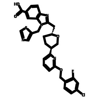 O=C(O)c1ccc2nc(C[C@H]3CC[C@H](c4cccc(OCc5ccc(Cl)cc5F)n4)CO3)n(Cc3cncs3)c2c1